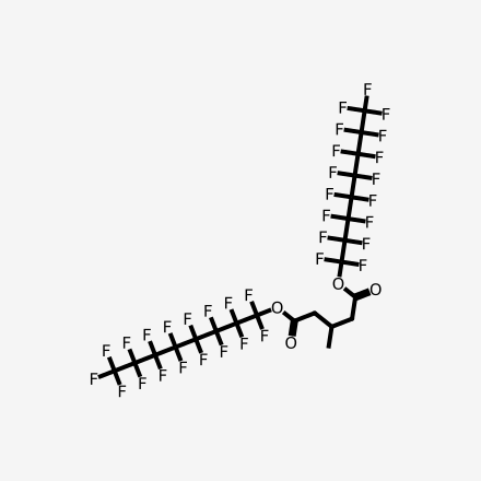 CC(CC(=O)OC(F)(F)C(F)(F)C(F)(F)C(F)(F)C(F)(F)C(F)(F)C(F)(F)C(F)(F)F)CC(=O)OC(F)(F)C(F)(F)C(F)(F)C(F)(F)C(F)(F)C(F)(F)C(F)(F)C(F)(F)F